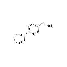 NCc1cnc(-c2ccccc2)nc1